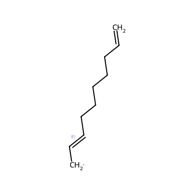 [CH2]/C=C/CCCCCC=C